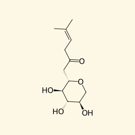 CC(C)=CCC(=O)C[C@@H]1OC[C@@H](O)[C@H](O)[C@H]1O